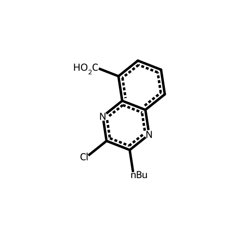 CCCCc1nc2cccc(C(=O)O)c2nc1Cl